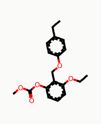 CCOc1cccc(OC(=O)OC)c1COc1ccc(CC)cc1